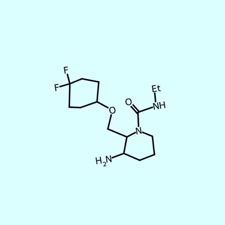 CCNC(=O)N1CCCC(N)C1COC1CCC(F)(F)CC1